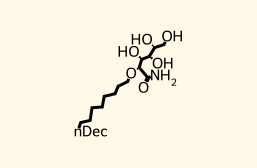 CCCCCCCCCCCCCCCCCCO[C@@H](C(N)=O)[C@@H](O)[C@H](O)[C@H](O)CO